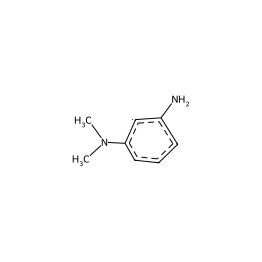 CN(C)c1[c]c(N)ccc1